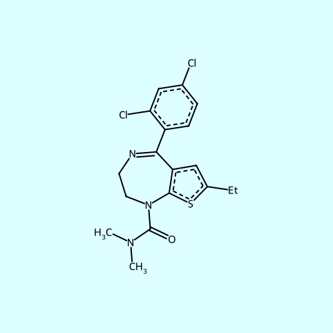 CCc1cc2c(s1)N(C(=O)N(C)C)CCN=C2c1ccc(Cl)cc1Cl